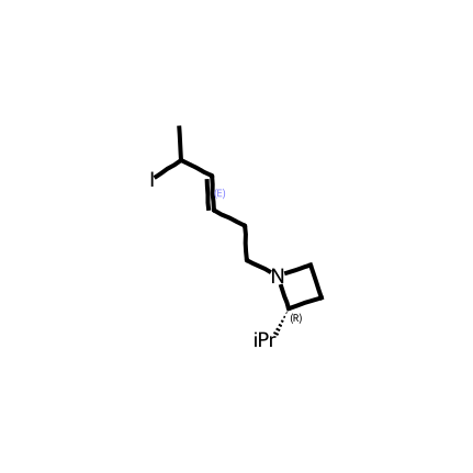 CC(I)/C=C/CCN1CC[C@@H]1C(C)C